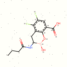 CCCC(=O)NC1Cc2c(F)c(F)cc(C(=O)O)c2OB1O